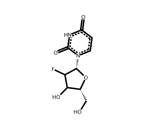 O=c1ccn([C@@H]2O[C@H](CO)C(O)C2F)c(=O)[nH]1